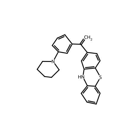 C=C(c1cccc(N2CCCCC2)c1)c1ccc2c(c1)Nc1ccccc1S2